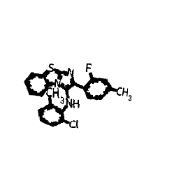 Cc1ccc(-c2nc3sc4ccccc4n3c2Nc2c(C)cccc2Cl)c(F)c1